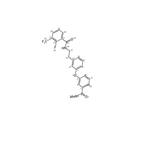 CNC(=O)c1cc(Oc2cccc(CCNC(=O)c3cccc(C(F)(F)F)c3F)c2)ccn1